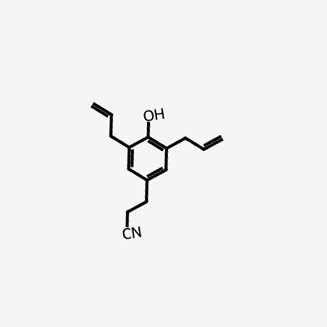 C=CCc1cc(CCC#N)cc(CC=C)c1O